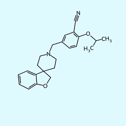 CC(C)Oc1ccc(CN2CCC3(CC2)COc2ccccc23)cc1C#N